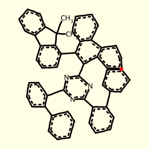 CC1(C)c2ccccc2-c2cccc(-c3c(-c4nc(-c5ccccc5-c5ccccc5)nc(-c5ccccc5-c5ccccc5)n4)c4ccccc4c4ccccc34)c21